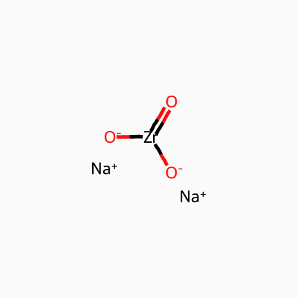 [Na+].[Na+].[O]=[Zr]([O-])[O-]